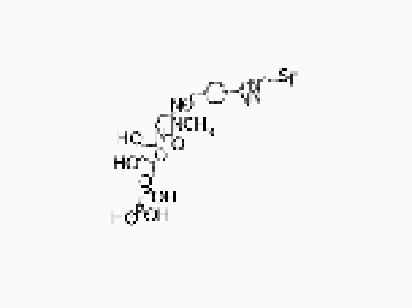 Cn1c(=O)n(C2OC(COP(O)CP(O)O)C(O)C2O)cc/c1=N/OCc1ccc(-c2cn(CCSF)nn2)cc1